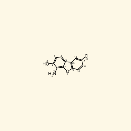 Nc1c(O)ccc2c1oc1ccc(Cl)cc12